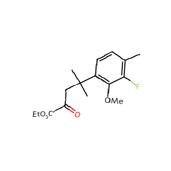 CCOC(=O)C(=O)CC(C)(C)c1ccc(C)c(F)c1OC